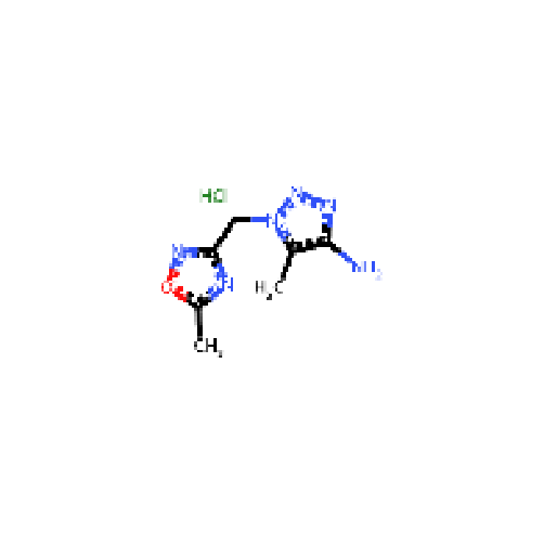 Cc1nc(Cn2nnc(N)c2C)no1.Cl